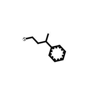 CC(CC[S])c1ccccc1